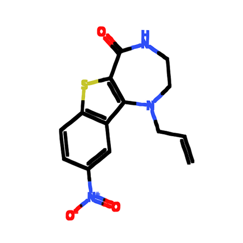 C=CCN1CCNC(=O)c2sc3ccc([N+](=O)[O-])cc3c21